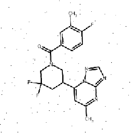 Cc1cc(C2CN(C(=O)c3ccc(F)c(C)c3)CC(F)(F)C2)n2ncnc2n1